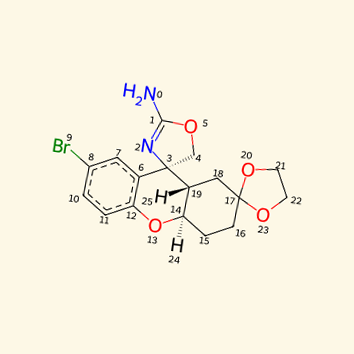 NC1=N[C@]2(CO1)c1cc(Br)ccc1O[C@@H]1CCC3(C[C@H]12)OCCO3